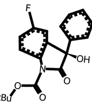 CC(C)(C)OC(=O)N1C(=O)[C@@](O)(c2ccccc2)c2cc(F)ccc21